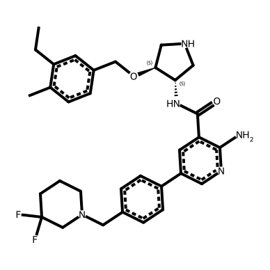 CCc1cc(CO[C@H]2CNC[C@@H]2NC(=O)c2cc(-c3ccc(CN4CCCC(F)(F)C4)cc3)cnc2N)ccc1C